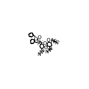 CC(=O)O[C@@H]1[C@@H](OC(C)=O)[C@H](N=[N+]=[N-])C[C@H](N=[N+]=[N-])[C@H]1O[C@H]1C[C@H]([C@@H](C)N(Cc2ccccc2)C(=O)OCc2ccccc2)CCC1N=[N+]=[N-]